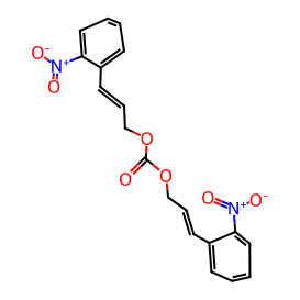 O=C(OC/C=C/c1ccccc1[N+](=O)[O-])OC/C=C/c1ccccc1[N+](=O)[O-]